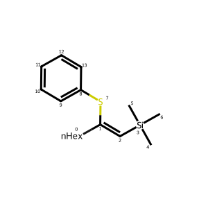 CCCCCC/C(=C/[Si](C)(C)C)Sc1ccccc1